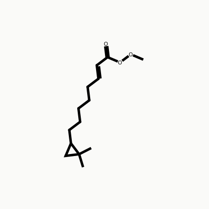 COOC(=O)/C=C/CCCCCC1CC1(C)C